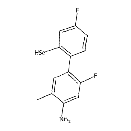 Cc1cc(-c2ccc(F)cc2[SeH])c(F)cc1N